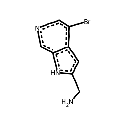 NCc1cc2c(Br)cncc2[nH]1